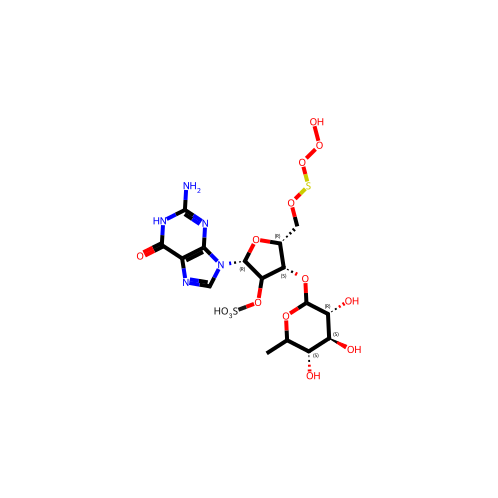 CC1OC(O[C@@H]2C(OS(=O)(=O)O)[C@H](n3cnc4c(=O)[nH]c(N)nc43)O[C@@H]2COSOOO)[C@H](O)[C@@H](O)[C@@H]1O